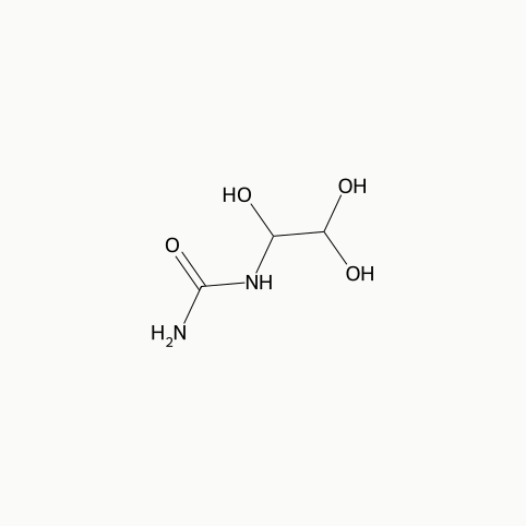 NC(=O)NC(O)C(O)O